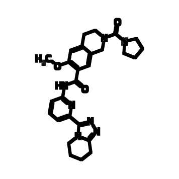 COc1cc2c(cc1C(=O)Nc1cccc(-c3nnc4n3CCCC4)n1)CN(C(=O)N1CCCC1)CC2